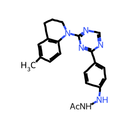 CC(=O)NNc1ccc(-c2ncnc(N3CCCc4cc(C)ccc43)n2)cc1